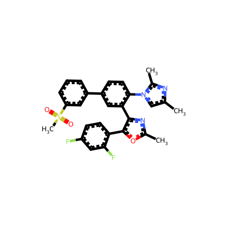 Cc1cn(-c2ccc(-c3cccc(S(C)(=O)=O)c3)cc2-c2nc(C)oc2-c2ccc(F)cc2F)c(C)n1